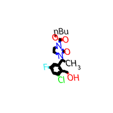 CCCCOC(=O)N1CCN(C(C)c2cc(F)cc(Cl)c2CO)C1=O